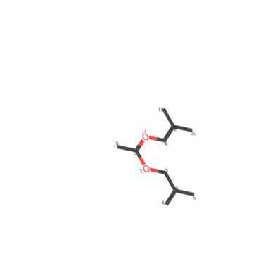 [CH2]C(OCC(C)C)OCC(C)C